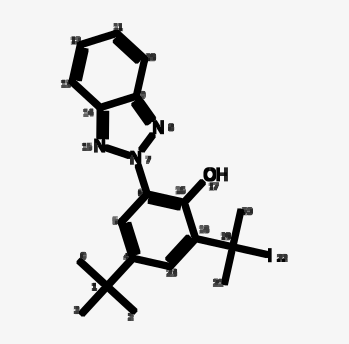 CC(C)(C)c1cc(-n2nc3ccccc3n2)c(O)c(C(C)(C)I)c1